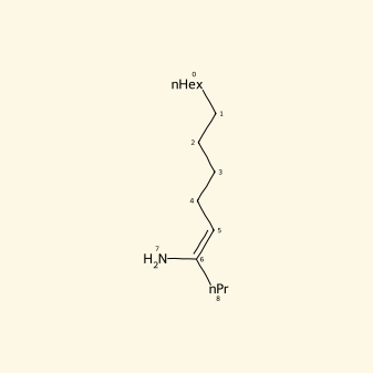 CCCCCCCCCCC=C(N)CCC